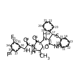 CC(C)C[C@H](N[C@@H]1C(=O)Nc2ccccc2S[C@@H]1c1ccccc1)C(=O)NC(=O)Cc1cc(F)cc(F)c1